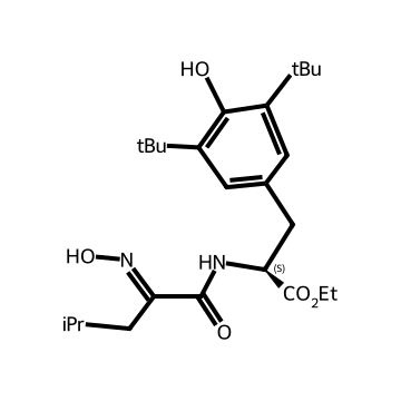 CCOC(=O)[C@H](Cc1cc(C(C)(C)C)c(O)c(C(C)(C)C)c1)NC(=O)C(CC(C)C)=NO